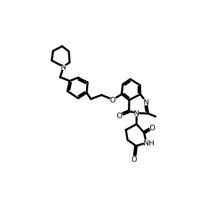 Cc1nc2cccc(OCCc3ccc(CN4CCCCC4)cc3)c2c(=O)n1C1CCC(=O)NC1=O